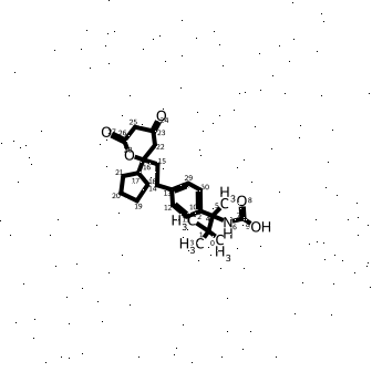 CC(C)(C)C(C)(NC(=O)O)c1ccc(CCC2(C3CCCC3)CC(=O)CC(=O)O2)cc1